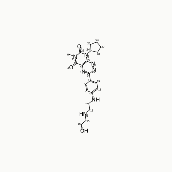 Cn1c(=O)c2nc(-c3ccc(NCCNCCO)cc3)nnc2n(C2CCCC2)c1=O